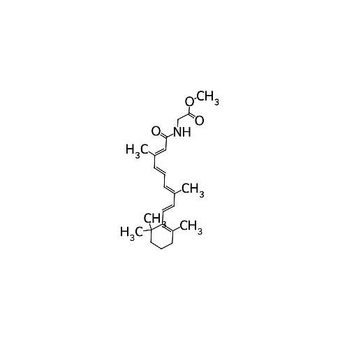 COC(=O)CNC(=O)C=C(C)C=CC=C(C)C=CC1=C(C)CCCC1(C)C